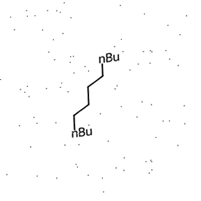 [CH]CCCCCCCCCC[CH]